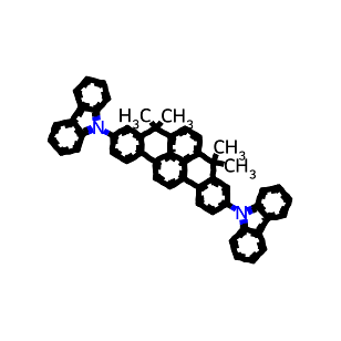 CC1(C)c2cc(-n3c4ccccc4c4ccccc43)ccc2-c2ccc3c4c(ccc1c24)C(C)(C)c1cc(-n2c4ccccc4c4ccccc42)ccc1-3